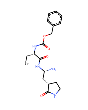 CC(C)C[C@H](NC(=O)OCc1ccccc1)C(=O)N[C@H](N)C[C@@H]1CCNC1=O